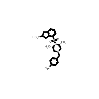 Cc1ccc(CN2C[C@@H](C)N(S(=O)(=O)c3cccc4c3CC(C(=O)O)C4)[C@@H](C)C2)cc1